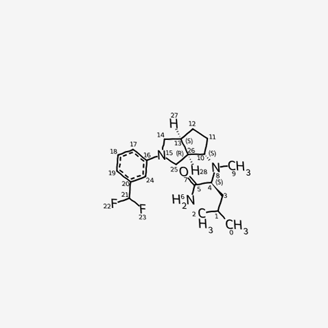 CC(C)C[C@@H](C(N)=O)N(C)[C@H]1CC[C@@H]2CN(c3cccc(C(F)F)c3)C[C@@H]21